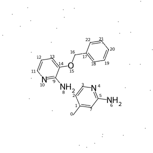 Cc1ccnc(N)c1.Nc1ncccc1OCc1ccccc1